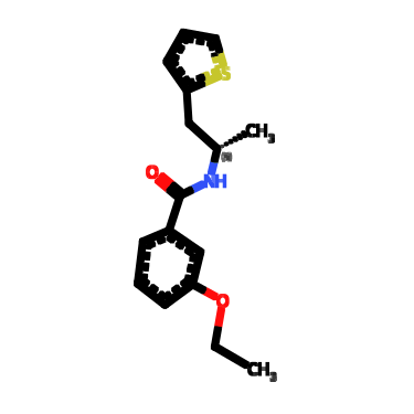 CCOc1cccc(C(=O)N[C@@H](C)Cc2cccs2)c1